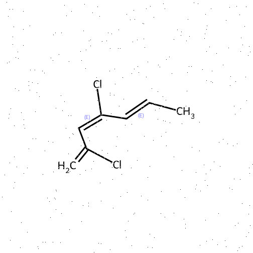 C=C(Cl)/C=C(Cl)\C=C\C